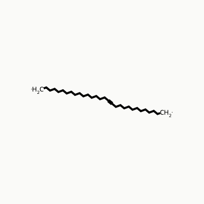 [CH2]CCCCCCCCCCCC#CCCCCCCCCCCCCCCC[CH2]